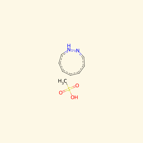 CS(=O)(=O)O.c1cccn[nH]ccc1